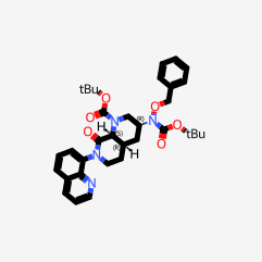 CC(C)(C)OC(=O)N1C[C@H](N(OCc2ccccc2)C(=O)OC(C)(C)C)C[C@H]2CCN(c3cccc4cccnc34)C(=O)[C@H]21